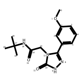 COc1cccc(-c2n[nH]c(=O)n2CC(=O)NC(C)(C)C)c1